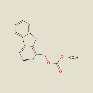 O=C(O)OC(=O)OCc1cccc2c1Cc1ccccc1-2